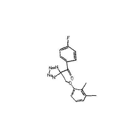 Cc1cccc(OCC2(C(=O)c3ccc(F)cc3)N=NN=N2)c1C